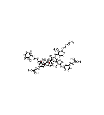 COCCOc1nccc(CN(C(=O)C2(C)C(c3ccc(CCCOc4c(F)ccc(F)c4Cl)cc3)CC3CN(C(=O)Oc4cccc(CON(O)O)c4)CC2N3C(=O)Oc2cccc(CON(O)O)c2)C2CC2)c1C